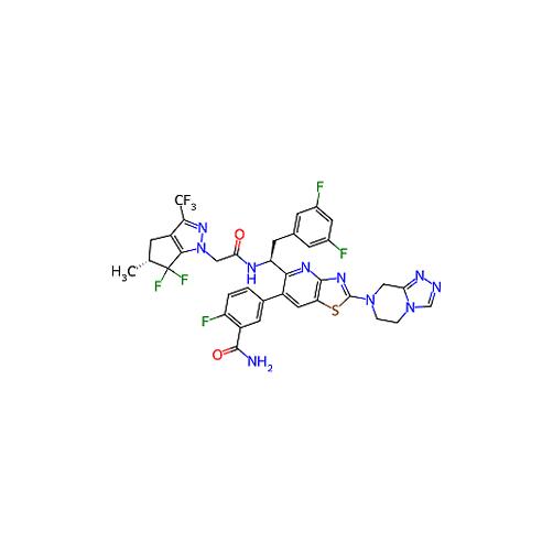 C[C@@H]1Cc2c(C(F)(F)F)nn(CC(=O)N[C@@H](Cc3cc(F)cc(F)c3)c3nc4nc(N5CCn6cnnc6C5)sc4cc3-c3ccc(F)c(C(N)=O)c3)c2C1(F)F